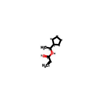 C=CC(=O)OC(C)C1CCCC1